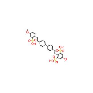 COc1ccc(C=Cc2ccc(-c3ccc(C=Cc4c(S(=O)(=O)O)cc(OC)cc4S(=O)(=O)O)cc3)cc2)c(S(=O)(=O)O)c1